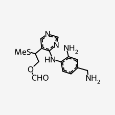 CSC(COC=O)c1cncnc1Nc1ccc(CN)cc1N